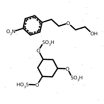 O=S(=O)(O)OC1CC(OS(=O)(=O)O)CC(OS(=O)(=O)O)C1.O=[N+]([O-])c1ccc(CCOCCO)cc1